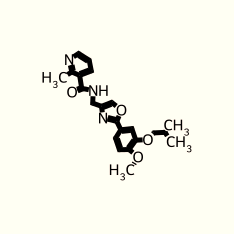 COc1ccc(-c2nc(CNC(=O)c3cccnc3C)co2)cc1OCC(C)C